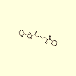 O=C(CCCCC(=O)c1ncc(-c2ccccn2)o1)Nc1ccccc1